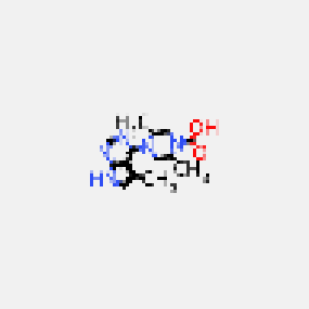 Cc1c[nH]c2ncnc(N3CC(C)N(C(=O)O)CC3C)c12